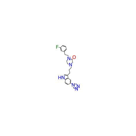 O=C1CN(CCCc2c[nH]c3ccc(-n4cnnc4)cc23)CCN1CCc1cccc(F)c1